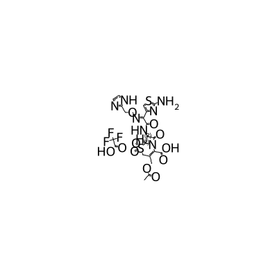 CC(=O)OCC1=C(C(=O)O)N2C(=O)[C@@H](NC(=O)C(=NOCc3ncc[nH]3)c3csc(N)n3)[C@H]2S(=O)(=O)C1.O=C(O)C(F)(F)F